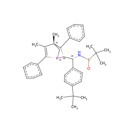 CC1=C(c2ccccc2)[P@]2C[C@@]1(C)C(c1ccccc1)[C@@H]2[C@H](N[S+]([O-])C(C)(C)C)c1ccc(C(C)(C)C)cc1